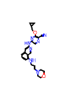 N#Cc1ncc(Nc2cc3cccc(NCCCN4CCOCC4)c3cn2)nc1OCC1CC1